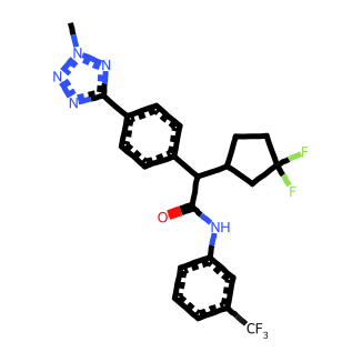 Cn1nnc(-c2ccc(C(C(=O)Nc3cccc(C(F)(F)F)c3)C3CCC(F)(F)C3)cc2)n1